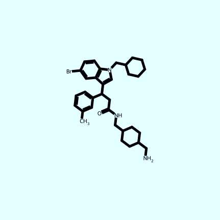 Cc1cccc(C(CC(=O)NCC2CCC(CN)CC2)c2cn(CC3CCCCC3)c3ccc(Br)cc23)c1